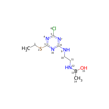 CCSc1nc(Cl)nc(NCCNB(C)O)n1